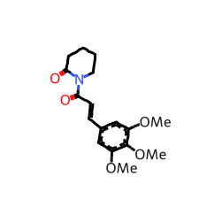 COc1cc(C=CC(=O)N2CCCCC2=O)cc(OC)c1OC